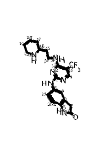 O=C1Cc2cc(Nc3ncc(C(F)(F)F)c(NCCC4CCCCN4)n3)ccc2N1